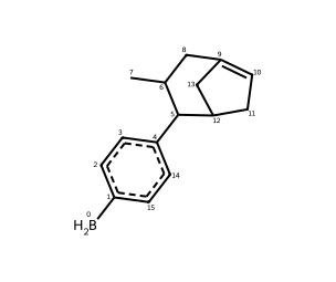 Bc1ccc(C2C(C)CC3=CCC2C3)cc1